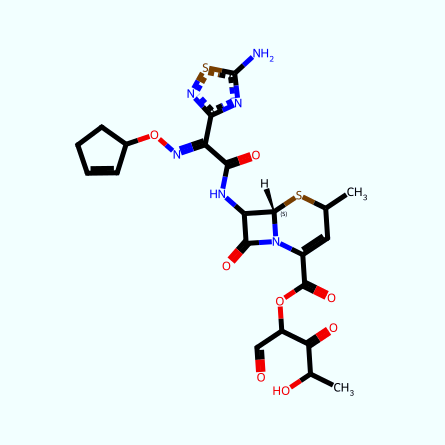 CC1C=C(C(=O)OC(C=O)C(=O)C(C)O)N2C(=O)C(NC(=O)C(=NOC3C=CCC3)c3nsc(N)n3)[C@@H]2S1